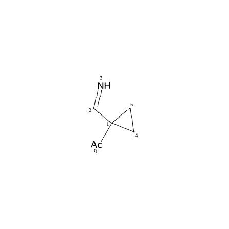 CC(=O)C1(C=N)CC1